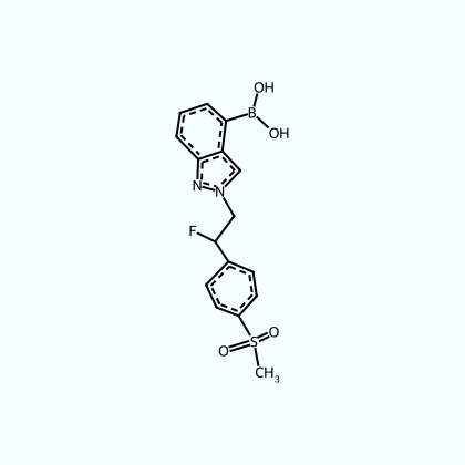 CS(=O)(=O)c1ccc(C(F)Cn2cc3c(B(O)O)cccc3n2)cc1